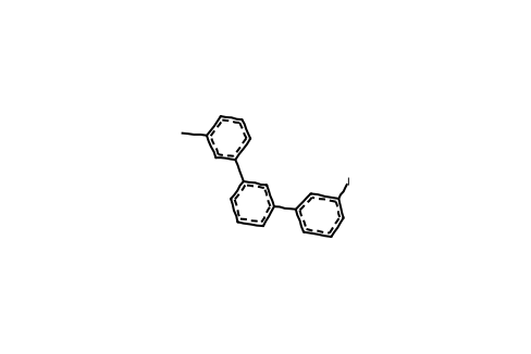 Cc1cccc(-c2cccc(-c3cccc(I)c3)c2)c1